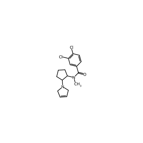 CN(C(=O)c1ccc(Cl)c(Cl)c1)C1CCCC1N1CC=CC1